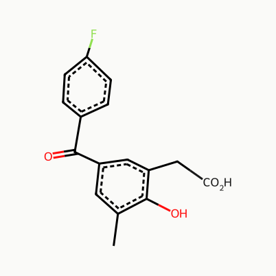 Cc1cc(C(=O)c2ccc(F)cc2)cc(CC(=O)O)c1O